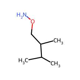 CC(C)C(C)CON